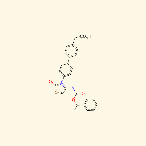 CC(OC(=O)Nc1csc(=O)n1-c1ccc(-c2ccc(CC(=O)O)cc2)cc1)c1ccccc1